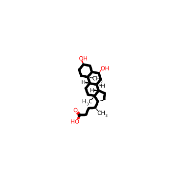 C[C@H](CCC(=O)O)[C@H]1CC[C@H]2[C@@H]3C[C@@H](O)C4C[C@H](O)CC[C@]4(C)[C@H]3CC[C@]12C